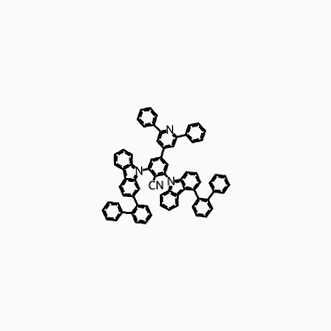 N#Cc1c(-n2c3ccccc3c3ccc(-c4ccccc4-c4ccccc4)cc32)cc(-c2cc(-c3ccccc3)nc(-c3ccccc3)c2)cc1-n1c2ccccc2c2c(-c3ccccc3-c3ccccc3)cccc21